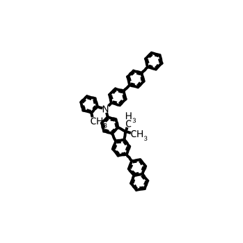 Cc1ccccc1N(c1ccc(-c2ccc(-c3ccccc3)cc2)cc1)c1ccc2c(c1)C(C)(C)c1cc(-c3ccc4ccccc4c3)ccc1-2